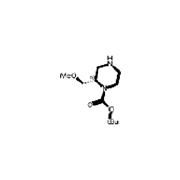 COC[C@@H]1CNCCN1C(=O)OC(C)(C)C